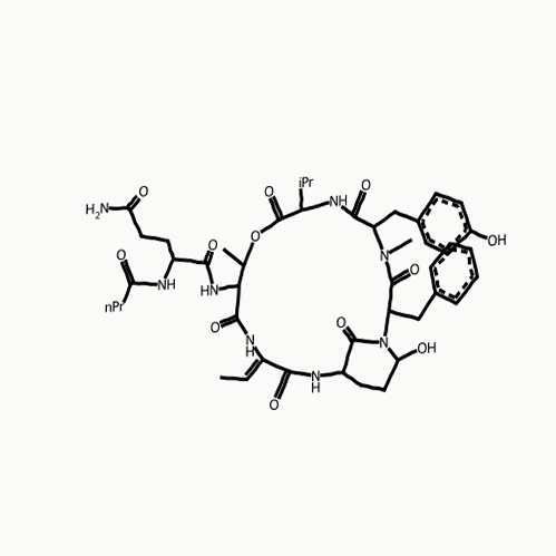 C/C=C1\NC(=O)C(NC(=O)C(CCC(N)=O)NC(=O)CCC)C(C)OC(=O)C(C(C)C)NC(=O)C(Cc2ccc(O)cc2)N(C)C(=O)C(Cc2ccccc2)N2C(=O)C(CCC2O)NC1=O